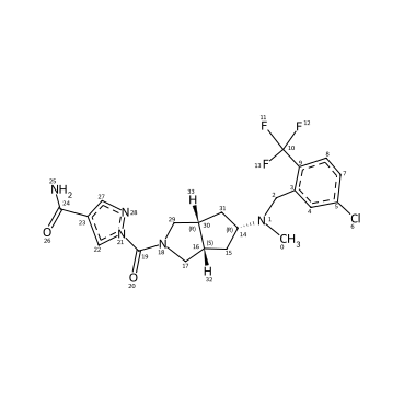 CN(Cc1cc(Cl)ccc1C(F)(F)F)[C@@H]1C[C@@H]2CN(C(=O)n3cc(C(N)=O)cn3)C[C@@H]2C1